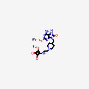 CCC[C@H](C)Oc1nc(N)c2[nH]c(=O)n(CC3CCN(CCNc4c(OCC)c(=O)c4=O)CC3)c2n1